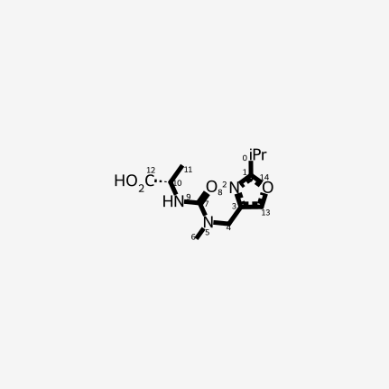 CC(C)c1nc(CN(C)C(=O)N[C@@H](C)C(=O)O)co1